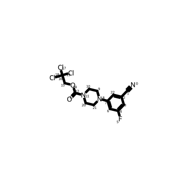 N#Cc1cc(F)cc(N2CCN(C(=O)OCC(Cl)(Cl)Cl)CC2)c1